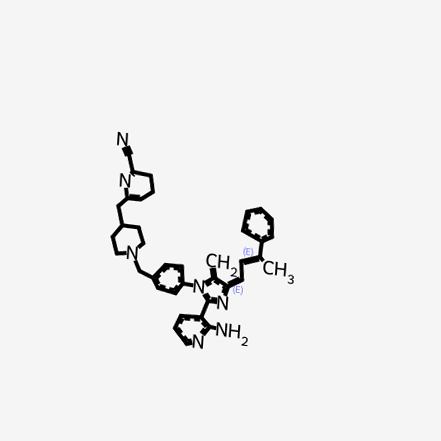 C=c1/c(=C\C=C(/C)c2ccccc2)nc(-c2cccnc2N)n1-c1ccc(CN2CCC(CC3=CCCC(C#N)=N3)CC2)cc1